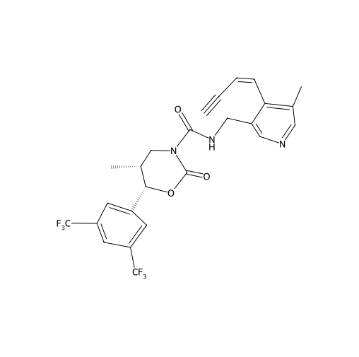 C#C/C=C\c1c(C)cncc1CNC(=O)N1C[C@@H](C)[C@@H](c2cc(C(F)(F)F)cc(C(F)(F)F)c2)OC1=O